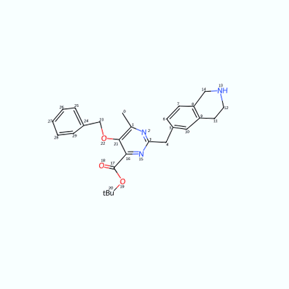 Cc1nc(Cc2ccc3c(c2)CCNC3)nc(C(=O)OC(C)(C)C)c1OCc1ccccc1